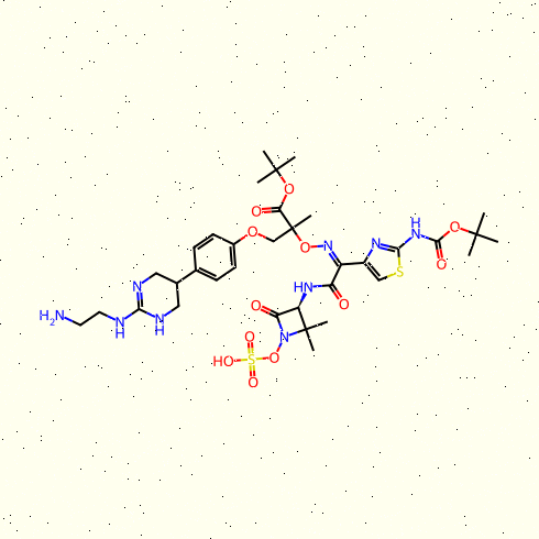 CC(C)(C)OC(=O)Nc1nc(/C(=N/OC(C)(COc2ccc(C3CN=C(NCCN)NC3)cc2)C(=O)OC(C)(C)C)C(=O)N[C@@H]2C(=O)N(OS(=O)(=O)O)C2(C)C)cs1